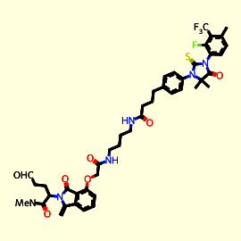 C=C1c2cccc(OCC(=O)NCCCCNC(=O)CCCc3ccc(N4C(=S)N(c5ccc(C)c(C(F)(F)F)c5F)C(=O)C4(C)C)cc3)c2C(=O)N1C(CCC=O)C(=O)NC